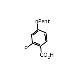 CCCCCc1ccc(C(=O)O)c(F)c1